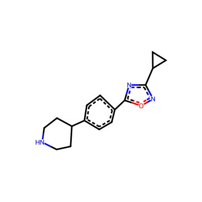 c1cc(C2CCNCC2)ccc1-c1nc(C2CC2)no1